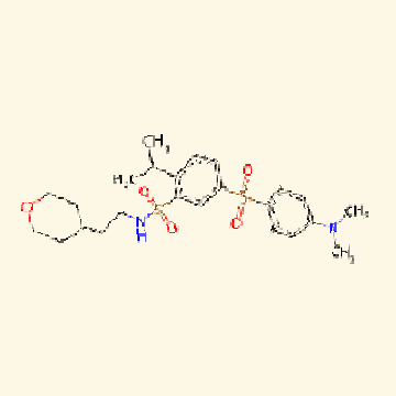 CC(C)c1ccc(S(=O)(=O)c2ccc(N(C)C)cc2)cc1S(=O)(=O)NCCC1CCOCC1